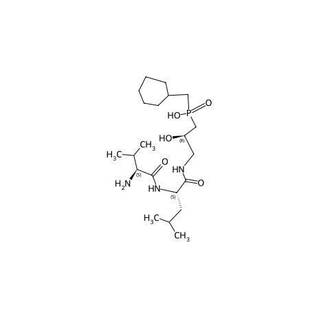 CC(C)C[C@H](NC(=O)[C@@H](N)C(C)C)C(=O)NC[C@@H](O)CP(=O)(O)CC1CCCCC1